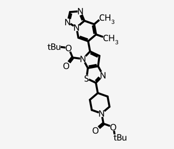 Cc1c(-c2cc3nc(C4CCN(C(=O)OC(C)(C)C)CC4)sc3n2C(=O)OC(C)(C)C)cn2ncnc2c1C